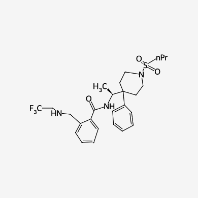 CCCS(=O)(=O)N1CCC(c2ccccc2)([C@H](C)NC(=O)c2ccccc2CNCC(F)(F)F)CC1